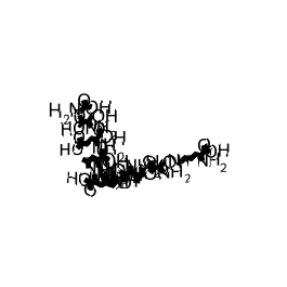 CC(C)CC(N)C(=O)O.CCC(C)C(N)C(=O)O.NC(CCC(=O)O)C(=O)O.NC(CO)C(=O)O.NC(CO)C(=O)O.NC(Cc1c[nH]cn1)C(=O)O.NCC(=O)O.NCCCCC(N)C(=O)O